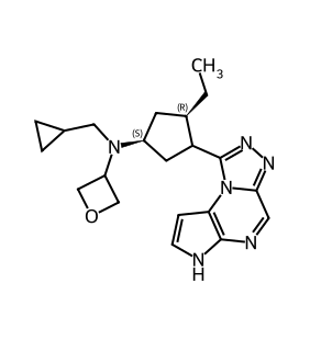 CC[C@@H]1C[C@H](N(CC2CC2)C2COC2)CC1c1nnc2cnc3[nH]ccc3n12